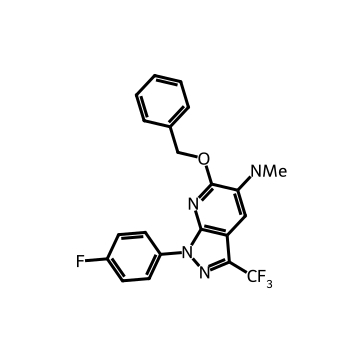 CNc1cc2c(C(F)(F)F)nn(-c3ccc(F)cc3)c2nc1OCc1ccccc1